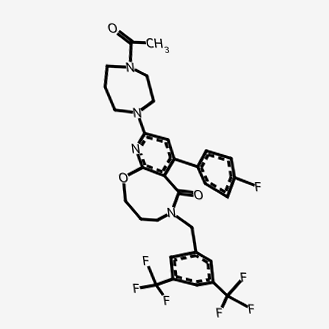 CC(=O)N1CCCN(c2cc(-c3ccc(F)cc3)c3c(n2)OCCCN(Cc2cc(C(F)(F)F)cc(C(F)(F)F)c2)C3=O)CC1